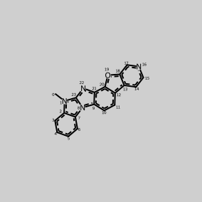 Cn1c2ccccc2n2c3ccc4c5ccncc5oc4c3nc12